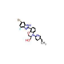 C=Cc1ccc(N2c3cccc(-c4nc5c(F)cc(Br)cc5[nH]4)c3OCC2CO)nc1